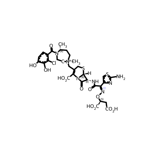 C[C@@H]1CC[N@@+](C)(CC2=C(C(=O)O)N3C(=O)[C@@H](NC(=O)/C(=N\O[C@@H](CC(=O)O)C(=O)O)c4csc(N)n4)[C@H]3SC2)CCN1C(=O)c1ccc(O)c(O)c1Cl